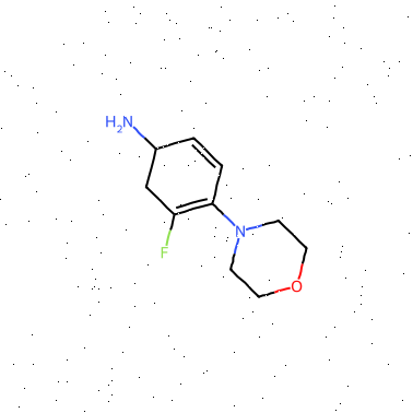 NC1C=CC(N2CCOCC2)=C(F)C1